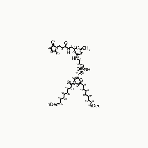 C=COC(CNC(=O)CCN1C(=O)C=CC1=O)OC(=O)NCCOP(=O)(O)OC[C@@H](COC(=O)CCCCCCCCCCCCCCCCC)OC(=O)CCCCCCCCCCCCCCCCC